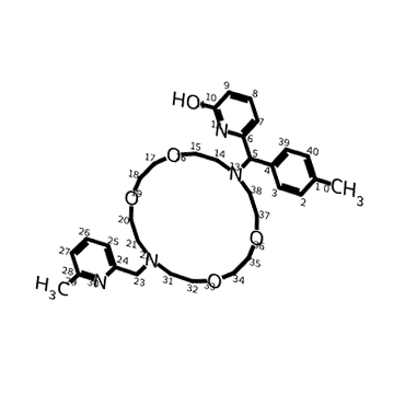 Cc1ccc(C(c2cccc(O)n2)N2CCOCCOCCN(Cc3cccc(C)n3)CCOCCOCC2)cc1